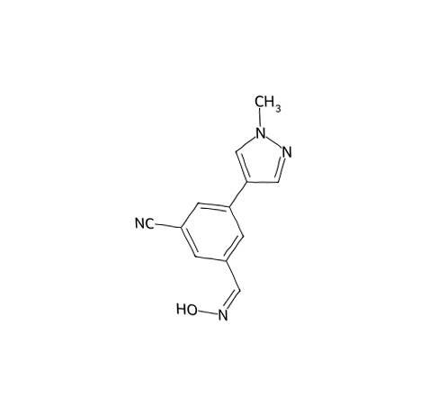 Cn1cc(-c2cc(C#N)cc(/C=N\O)c2)cn1